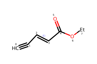 C#C/C=C/C(=O)OCC